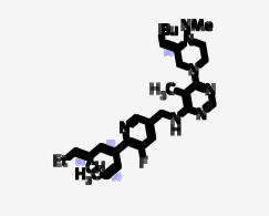 C\C=C/C(=C\C(C)=C\CC)c1ncc(CNc2ncnc(N3CCN(NC)/C(=C\C(C)CC)C3)c2C)cc1F